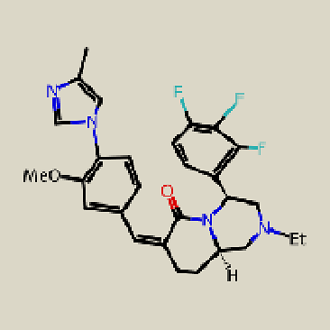 CCN1C[C@H]2CCC(=Cc3ccc(-n4cnc(C)c4)c(OC)c3)C(=O)N2[C@@H](c2ccc(F)c(F)c2F)C1